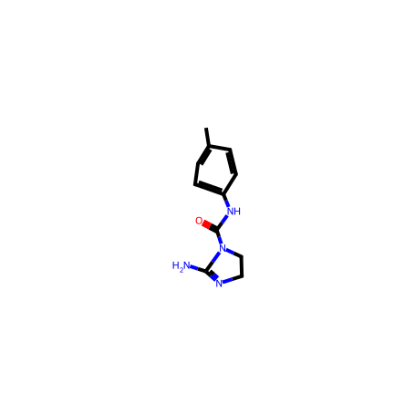 Cc1ccc(NC(=O)N2CCN=C2N)cc1